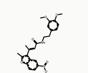 COc1ccc(CCNC(=O)C=C(C)c2c(C)oc3ccc([N+](=O)[O-])cc23)cc1OC